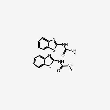 CNC(=O)Nc1nc2ccccc2s1.CNC(=O)Nc1nc2ccccc2s1